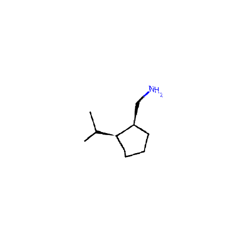 CC(C)[C@@H]1CCC[C@@H]1CN